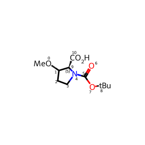 COC1CCN(C(=O)OC(C)(C)C)[C@@H]1C(=O)O